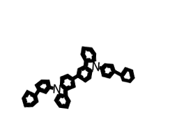 C1=CCCC(c2ccc(-n3c4ccccc4c4cc(-c5ccc6c(c5)c5ccccc5n6-c5cccc(-c6ccccc6)c5)ccc43)cc2)=C1